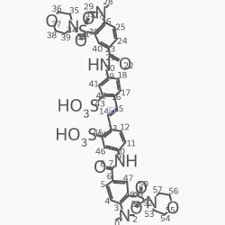 CN(C)c1ccc(C(=O)Nc2ccc(/C=C/c3ccc(NC(=O)c4ccc(N(C)C)c(S(=O)(=O)N5CCOCC5)c4)cc3S(=O)(=O)O)c(S(=O)(=O)O)c2)cc1S(=O)(=O)N1CCOCC1